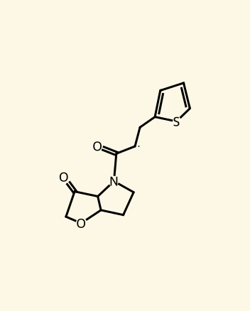 O=C1COC2CCN(C(=O)[CH]Cc3cccs3)C12